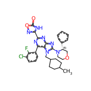 CC1CCC(Cn2c(N3CCOC[C@H]3c3ccccc3)nc3nc(-c4noc(=O)[nH]4)nc(-c4cccc(Cl)c4F)c32)CC1